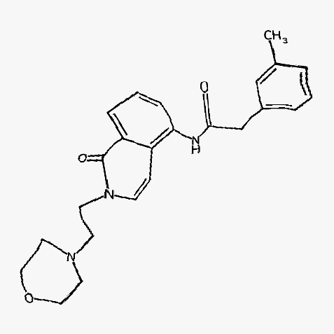 Cc1cccc(CC(=O)Nc2cccc3c(=O)n(CCN4CCOCC4)ccc23)c1